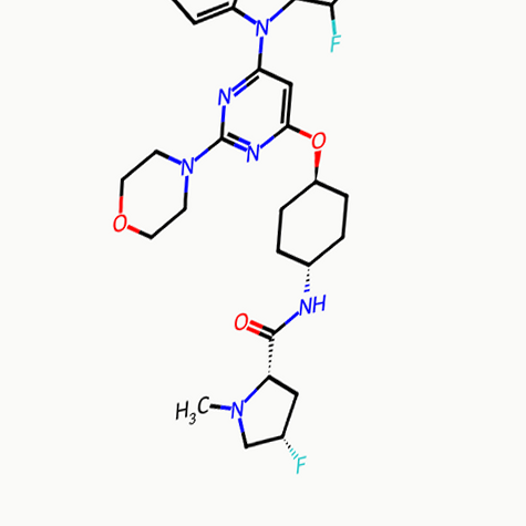 CN1C[C@@H](F)C[C@H]1C(=O)N[C@H]1CC[C@H](Oc2cc(-n3c(C(F)F)nc4ccccc43)nc(N3CCOCC3)n2)CC1